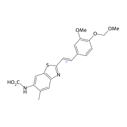 COCOc1ccc(/C=C/c2nc3cc(C)c(NC(=O)O)cc3s2)cc1OC